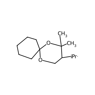 C[C](C)C1COC2(CCCCC2)OC1(C)C